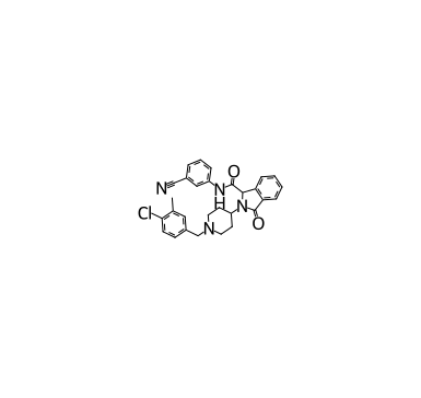 Cc1cc(CN2CCC(N3C(=O)c4ccccc4C3C(=O)Nc3cccc(C#N)c3)CC2)ccc1Cl